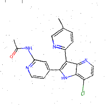 CC(=O)Nc1cc(-c2[nH]c3c(Cl)ccnc3c2-c2ccc(C)cn2)ccn1